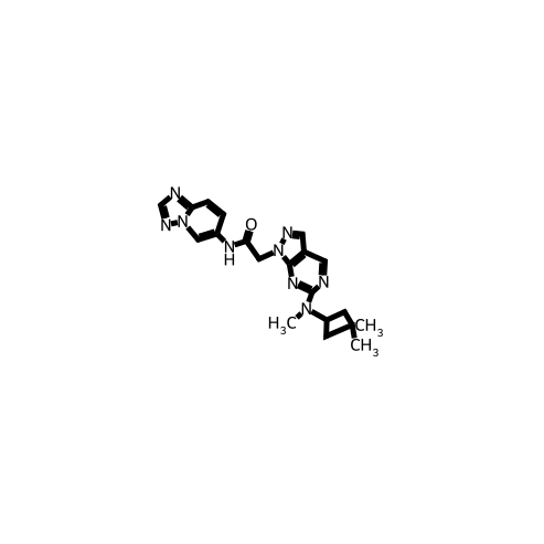 CN(c1ncc2cnn(CC(=O)Nc3ccc4ncnn4c3)c2n1)C1CC(C)(C)C1